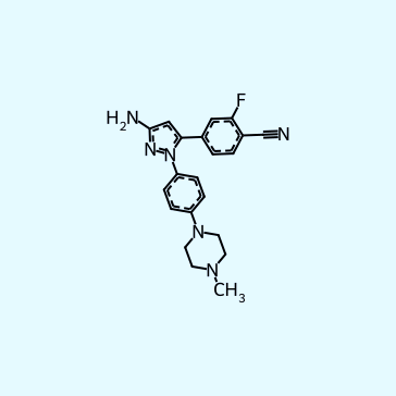 CN1CCN(c2ccc(-n3nc(N)cc3-c3ccc(C#N)c(F)c3)cc2)CC1